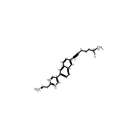 C=CCc1ncc(-c2ccc3cc(C#CCCCC(C)F)ccc3c2)cn1